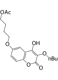 CCCCOc1c(O)c2cc(OCCCCOC(C)=O)ccc2oc1=O